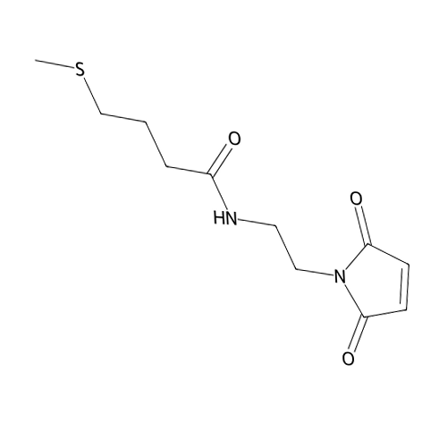 CSCCCC(=O)NCCN1C(=O)C=CC1=O